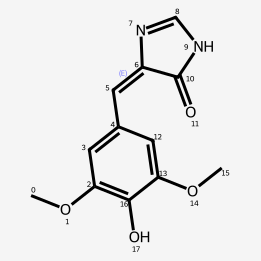 COc1cc(/C=C2/N=CNC2=O)cc(OC)c1O